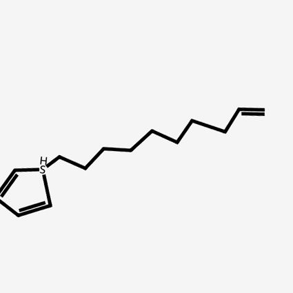 C=CCCCCCCCC[SH]1C=CC=C1